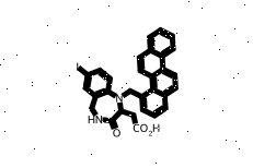 O=C(O)CC1C(=O)NCc2cc(I)ccc2N1Cc1cccc2ccc3c4ccccc4ccc3c12